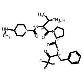 CNC1CCN(C(=O)N[C@H](C(=O)N2CCC[C@H]2C(=O)N[C@@H](Cc2ccccc2)C(=O)C(F)(F)F)C(C)C)CC1.Cl